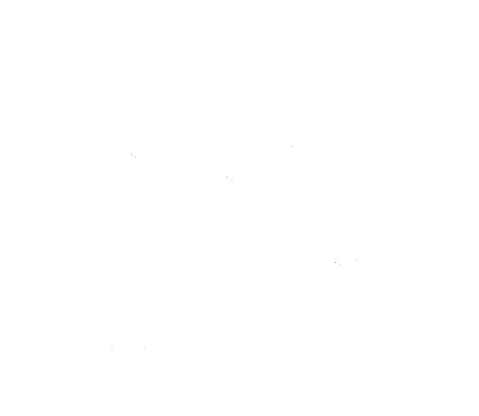 CC(=O)NC(C)c1ccc(N(c2ccccc2)c2cccc(OCC3CC3)c2)c(O)c1.NC=O